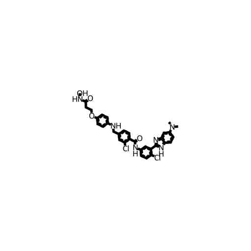 CN(C)c1ccc2[nH]c(-c3cc(NC(=O)c4ccc(CNc5ccc(OCCC(=O)NO)cc5)cc4Cl)ccc3Cl)nc2c1